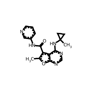 Cc1oc2ncnc(NC3(C)CC3)c2c1C(=O)Nc1cccnc1